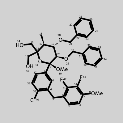 COc1ccc(Cc2cc([C@]3(OC)OC(CO)(CO)[C@@H](C)[C@H](OCc4ccccc4)[C@H]3OCc3ccccc3)ccc2Cl)c(F)c1F